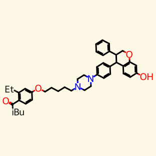 CCc1cc(OCCCCCN2CCN(c3ccc(C4c5ccc(O)cc5OCC4c4ccccc4)cc3)CC2)ccc1C(=O)C(C)CC